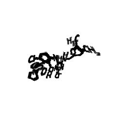 CC1=C(C)OC(CNc2n[s+]([O-])nc2Nc2ccc(Cl)c(S(=O)(=O)N3CCCC3)c2O)C1